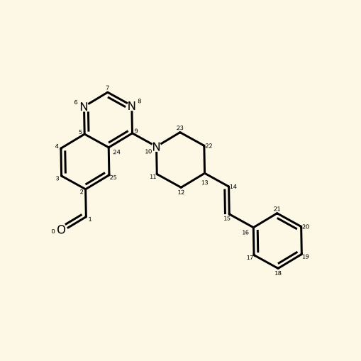 O=Cc1ccc2ncnc(N3CCC(C=Cc4ccccc4)CC3)c2c1